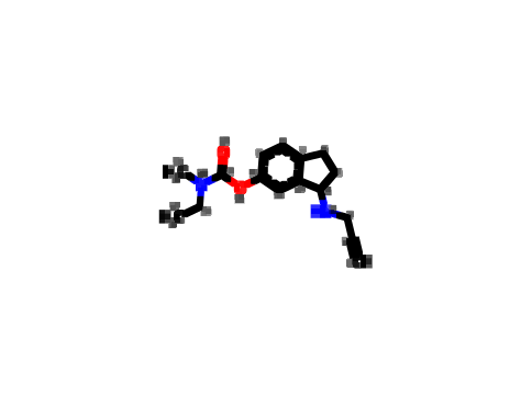 C#CCNC1CCc2ccc(OC(=O)N(C)CC)cc21